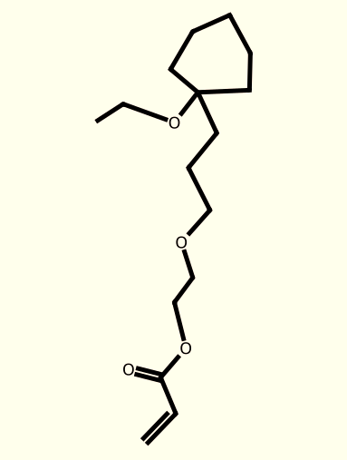 C=CC(=O)OCCOCCCC1(OCC)CCCCC1